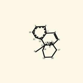 CN1C=CC23C=Cc4ccccc4C12CCCC3